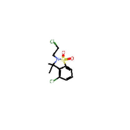 CC1(C)c2c(Cl)cccc2S(=O)(=O)N1CCCl